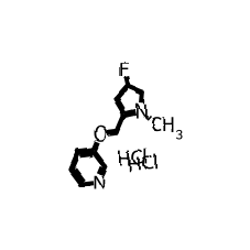 CN1CC(F)CC1COc1cccnc1.Cl.Cl